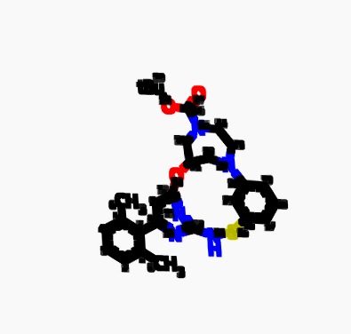 Cc1cccc(C)c1-c1cc2nc(n1)NSc1cccc(c1)N1CCN(C(=O)OC(C)(C)C)CC(C1)O2